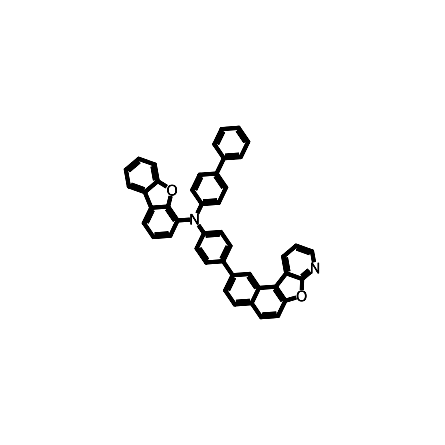 c1ccc(-c2ccc(N(c3ccc(-c4ccc5ccc6oc7ncccc7c6c5c4)cc3)c3cccc4c3oc3ccccc34)cc2)cc1